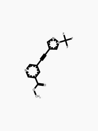 COC(=O)c1cncc(C#Cc2cnn(C(F)(F)F)c2)c1